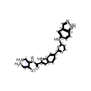 N/C=C(Cl)\C(=C/N)NC(=O)c1cc2ccc(-c3nccc(Nc4ccc5[nH]ncc5c4)n3)cc2[nH]1